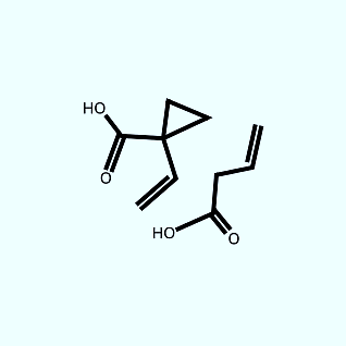 C=CC1(C(=O)O)CC1.C=CCC(=O)O